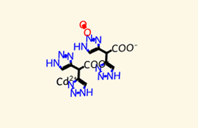 O=C([O-])C(c1c[nH]nn1)c1c[nH]nn1.O=C([O-])C(c1c[nH]nn1)c1c[nH]nn1.O=O.[Cd+2]